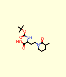 CC1CCCN(CCC(NC(=O)OC(C)(C)C)C(=O)O)C1=O